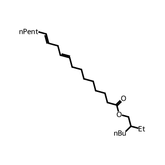 CCCCC/C=C/C/C=C/CCCCCCCC(=O)OCC(CC)CCCC